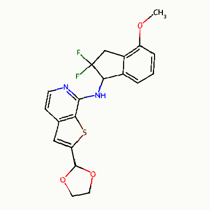 COc1cccc2c1CC(F)(F)C2Nc1nccc2cc(C3OCCO3)sc12